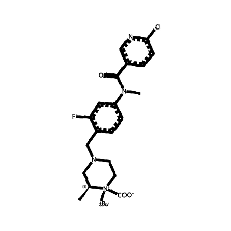 C[C@H]1CN(Cc2ccc(N(C)C(=O)c3ccc(Cl)nc3)cc2F)CC[N+]1(C(=O)[O-])C(C)(C)C